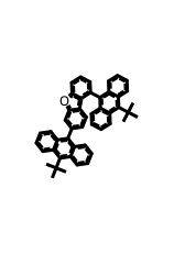 CC(C)(C)c1c2ccccc2c(-c2ccc3c(c2)oc2cccc(-c4c5ccccc5c(C(C)(C)C)c5ccccc45)c23)c2ccccc12